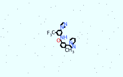 Cc1ccc(C(=O)Nc2cc(-n3ccnc3)cc(C(F)(F)F)c2)cc1-c1cnc2ccccn12